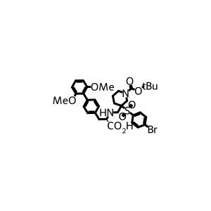 COc1cccc(OC)c1-c1ccc(C[C@H](NCC2(S(=O)(=O)c3ccc(Br)cc3)CCCN(C(=O)OC(C)(C)C)C2)C(=O)O)cc1